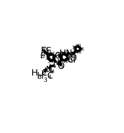 CCN(CC)CCN1C(=O)c2cc(Cl)c(NC(=O)C3CCCC3)cc2Oc2cc(C(F)(F)F)ccc21